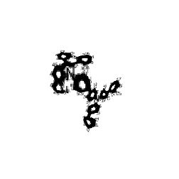 c1ccc(-c2ccc(N(c3ccc(-c4ccccc4)cc3)c3ccc(-c4ccc(-n5c(-c6ccccc6)c(-c6ccccc6)c6ccc7cccnc7c65)cc4)cc3)cc2)cc1